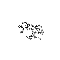 CC(=O)C1C(=O)CCCC1=NN([Si](C)(C)C)[Si](C)(C)C